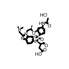 CC(=O)Nc1ccc(S(=O)(=O)NC(C=O)CC(=O)O)c(O[C@H](C)Cn2c(CN(C)C)nc3ccccc32)c1.Cl